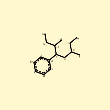 CCC(C)CC(c1ccccc1)C(C)CC